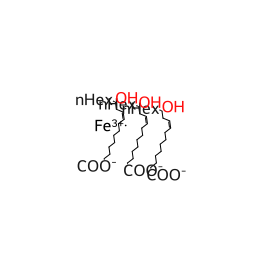 CCCCCC[C@@H](O)C/C=C\CCCCCCCC(=O)[O-].CCCCCC[C@@H](O)C/C=C\CCCCCCCC(=O)[O-].CCCCCC[C@@H](O)C/C=C\CCCCCCCC(=O)[O-].[Fe+3]